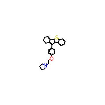 C1=C2C(=C(c3ccc(OCCN4CCCC4)cc3)c3c2sc2ccccc32)CCC1